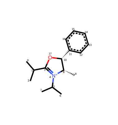 CC(C)C1=[N+](C(C)C)[C@@H](C)[C@@H](c2ccccc2)O1